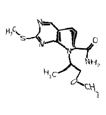 COCC(C)n1c(C(N)=O)cc2cnc(SC)nc21